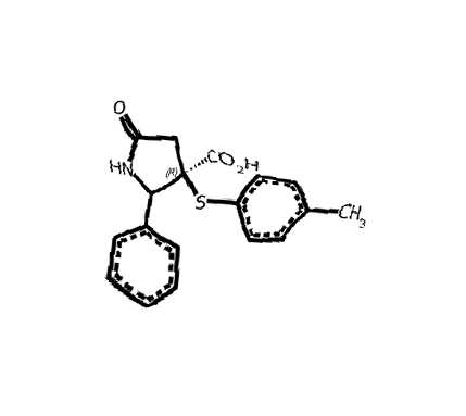 Cc1ccc(S[C@]2(C(=O)O)CC(=O)NC2c2ccccc2)cc1